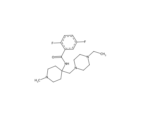 CCN1CCN(CC2(NC(=O)c3cc(F)ccc3F)CCN(C)CC2)CC1